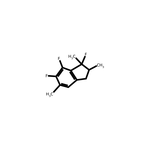 Cc1cc2c(c(F)c1F)C(C)(F)C(C)C2